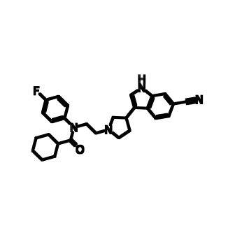 N#Cc1ccc2c(C3CCN(CCN(C(=O)C4CCCCC4)c4ccc(F)cc4)C3)c[nH]c2c1